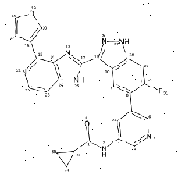 O=C(Nc1cncc(-c2cc3c(-c4nc5c(-c6ccoc6)nccc5[nH]4)n[nH]c3cc2F)c1)C1CC1